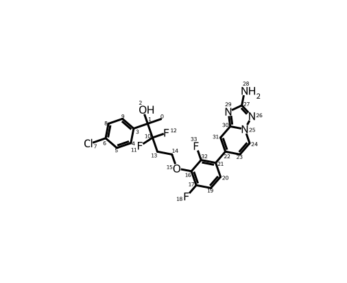 CC(O)(c1ccc(Cl)cc1)C(F)(F)CCOc1c(F)ccc(-c2ccn3nc(N)nc3c2)c1F